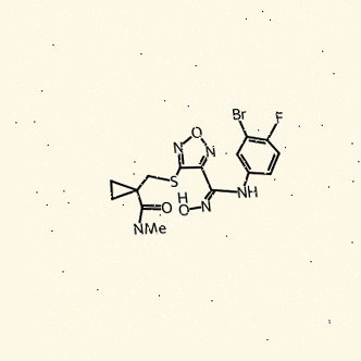 CNC(=O)C1(CSc2nonc2/C(=N\O)Nc2ccc(F)c(Br)c2)CC1